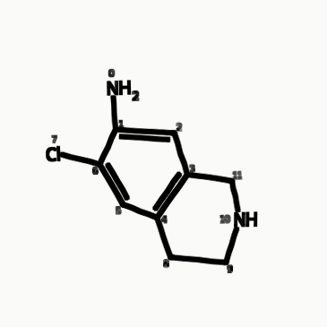 Nc1cc2c(cc1Cl)CCNC2